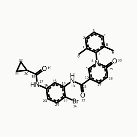 Cc1cccc(C)c1-n1cc(C(=O)Nc2cc(NC(=O)C3CC3)ccc2Br)ccc1=O